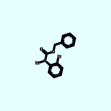 CCc1ccccc1N(CC)C(=O)OCc1ccccc1